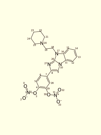 O=[N+]([O-])Oc1ccc(-c2cn3c4ccccc4n(CCN4CCCCC4)c3n2)cc1O[N+](=O)[O-]